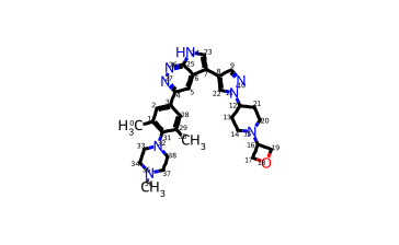 Cc1cc(-c2cc3c(-c4cnn(C5CCN(C6COC6)CC5)c4)c[nH]c3nn2)cc(C)c1N1CCN(C)CC1